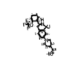 O=c1[nH]c(-c2ccccc2OC(F)(F)F)cc2ccc(N3CCC(CO)CC3)cc12